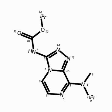 CCCN(C)c1nccn2c(NC(=O)OC(C)C)nnc12